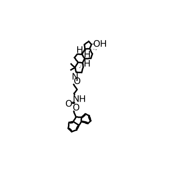 CC1(C)/C(=N/OCCCNC(=O)OCC2c3ccccc3-c3ccccc32)CC[C@@]2(C)C1CC[C@H]1[C@@H]3CC[C@H](O)[C@@]3(C)CC[C@@H]12